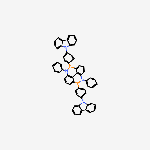 c1ccc(-n2c3cccc4c3-c3c(cccc3p2-c2ccc(-n3c5ccccc5c5ccccc53)cc2)n(-c2ccccc2)p4-c2ccc(-n3c4ccccc4c4ccccc43)cc2)cc1